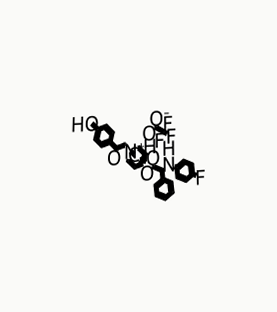 O=C(C[N+]12CCC(CC1)[C@@H](OC(=O)[C@H](Nc1ccc(F)cc1)c1ccccc1)C2)c1ccc(O)cc1.O=C([O-])C(F)(F)F